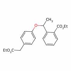 CCOC(=O)Cc1ccc(OC(C)c2ccccc2C(=O)OCC)cc1